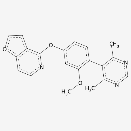 COc1cc(Oc2nccc3occc23)ccc1-c1c(C)ncnc1C